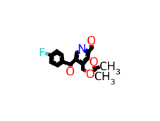 CC1(C)OCc2c(C(=O)c3ccc(F)cc3)cnc(C=O)c2O1